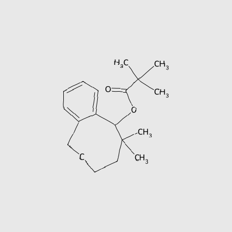 CC(C)(C)C(=O)OC1c2ccccc2CCCCC1(C)C